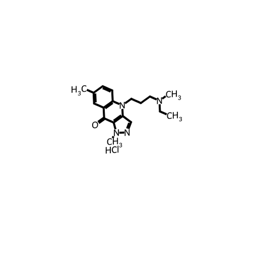 CCN(C)CCCn1c2ccc(C)cc2c(=O)c2c1cnn2C.Cl